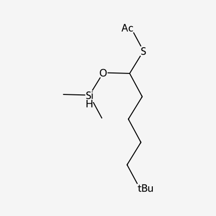 CC(=O)SC(CCCCC(C)(C)C)O[SiH](C)C